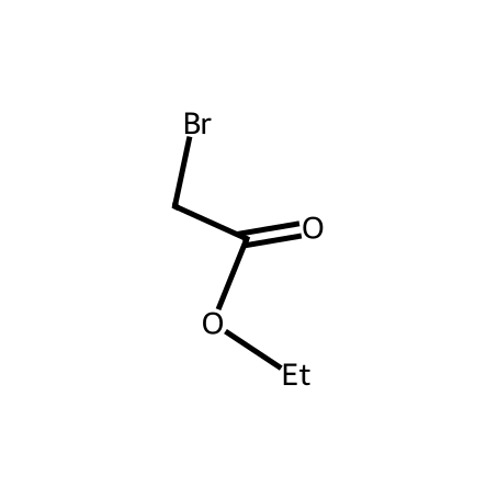 [CH2]COC(=O)CBr